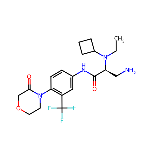 CCN(C1CCC1)[C@@H](CN)C(=O)Nc1ccc(N2CCOCC2=O)c(C(F)(F)F)c1